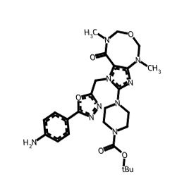 CN1COCN(C)c2nc(N3CCN(C(=O)OC(C)(C)C)CC3)n(Cc3nnc(-c4ccc(N)cc4)o3)c2C1=O